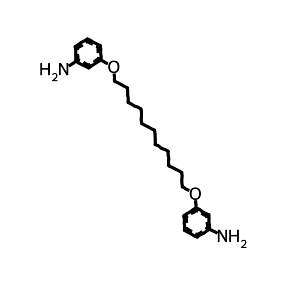 Nc1cccc(OCCCCCCCCCCCOc2cccc(N)c2)c1